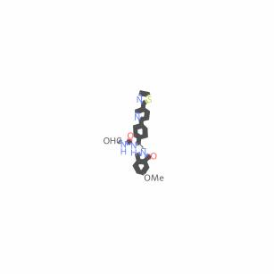 COc1ccc2c(c1)C(=O)N(C[C@H](NC(=O)NC=O)c1ccc(-c3ccc(-c4nccs4)cn3)cc1)C2